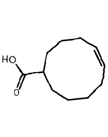 O=C(O)C1CCCC=CCCCC1